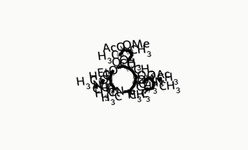 CC[C@H]1OC(=O)[C@H](C)[C@@H](O[C@H]2C[C@@](C)(OC)[C@@H](OC(C)=O)[C@H](C)O2)C(C)[C@@H](O[C@@H]2O[C@H](C)C[C@H](N(C)C)[C@H]2OC(C)=O)[C@](C)(O)C[C@@H](C)CN(C)[C@H](C)[C@H]2OC(N(C)C)O[C@@]21C